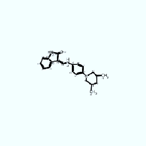 CC1CC(C)CN(c2ccc(NC=C3C(=O)Nc4ccccc43)cc2)C1